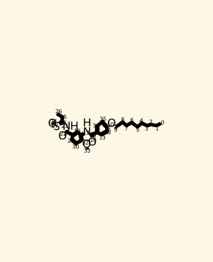 CCCCCCCCCCOc1ccc(C(=O)Nc2cc(C(=O)NC(CC)=S=O)ccc2OC)cc1